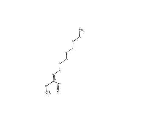 CCCCCCCCC=C(C=O)CC